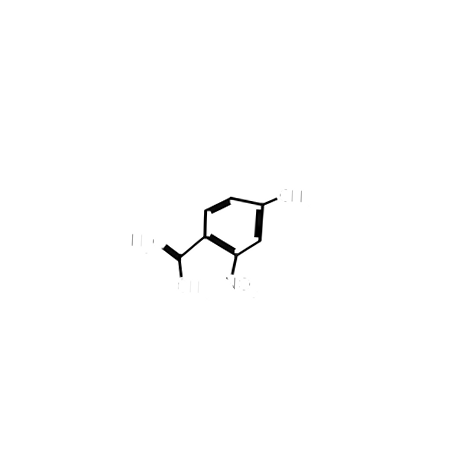 C=C(C)c1ccc(C)cc1[N+](=O)[O-]